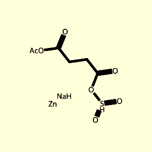 CC(=O)OC(=O)CCC(=O)O[SH](=O)=O.[NaH].[Zn]